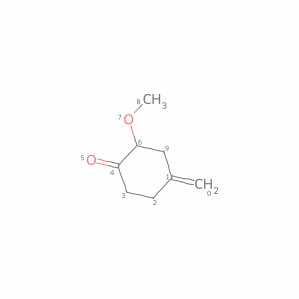 C=C1CCC(=O)C(OC)C1